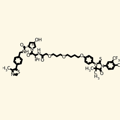 Cc1ncsc1-c1ccc(CNC(=O)[C@@H]2C[C@@H](O)CN2C(=O)[C@@H](NC(=O)COCCCOCCCCOc2ccc(N3C(=S)N(c4ccc(C#N)c(C(F)(F)F)c4)C(=O)C3(C)C)cc2)C(C)C)cc1